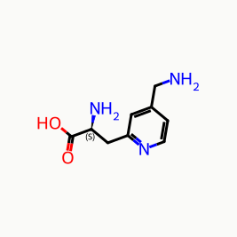 NCc1ccnc(C[C@H](N)C(=O)O)c1